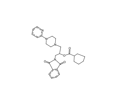 O=C(OC(CN1CCN(c2ccccn2)CC1)CN1C(=O)c2ccccc2C1=O)C1CCCCC1